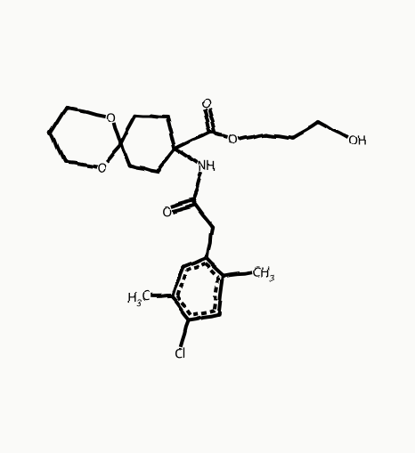 Cc1cc(CC(=O)NC2(C(=O)OCCCO)CCC3(CC2)OCCCO3)c(C)cc1Cl